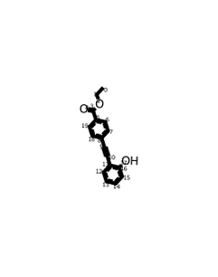 CCOC(=O)c1ccc(C#Cc2ccccc2O)cc1